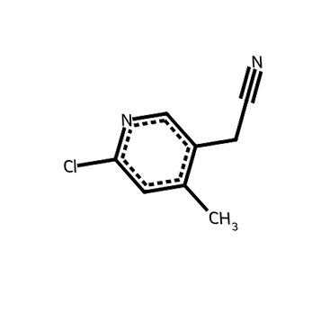 Cc1cc(Cl)ncc1CC#N